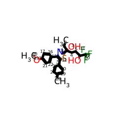 CCC(O)(CCC(O)C(F)(F)F)c1nc(-c2ccc(OC)cc2)c(-c2ccc(C)cc2)s1